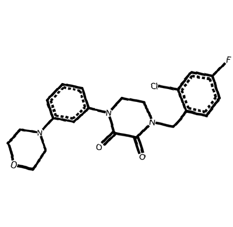 O=C1C(=O)N(c2cccc(N3CCOCC3)c2)CCN1Cc1ccc(F)cc1Cl